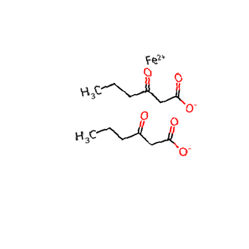 CCCC(=O)CC(=O)[O-].CCCC(=O)CC(=O)[O-].[Fe+2]